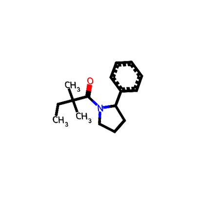 CCC(C)(C)C(=O)N1CCCC1c1ccccc1